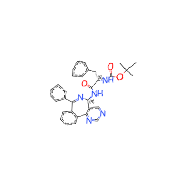 CC(C)(C)OC(=O)N[C@@H](Cc1ccccc1)C(=O)N[C@@H]1N=C(c2ccccc2)c2ccccc2-c2ncncc21